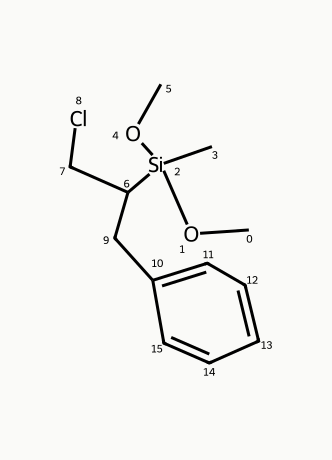 CO[Si](C)(OC)C(CCl)Cc1ccccc1